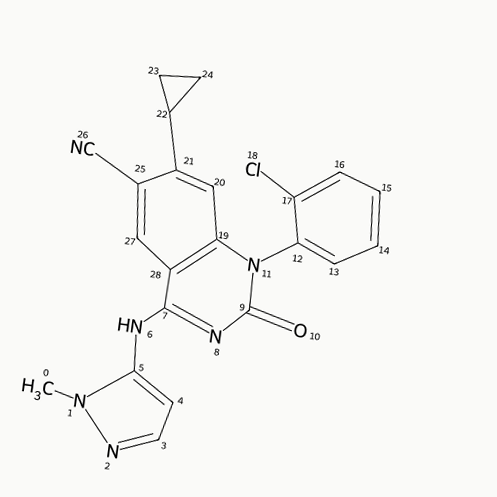 Cn1nccc1Nc1nc(=O)n(-c2ccccc2Cl)c2cc(C3CC3)c(C#N)cc12